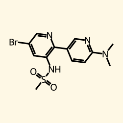 CN(C)c1ccc(-c2ncc(Br)cc2NS(C)(=O)=O)cn1